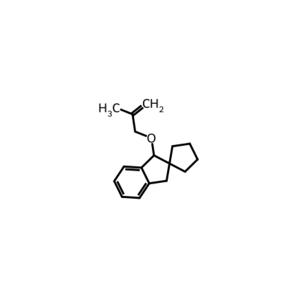 C=C(C)COC1c2ccccc2CC12CCCC2